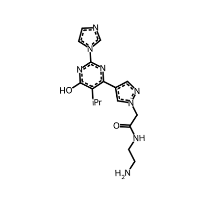 CC(C)c1c(O)nc(-n2ccnc2)nc1-c1cnn(CC(=O)NCCN)c1